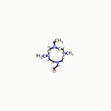 CCN1CCN(C)CCN(CC=O)CCN(C)CC1